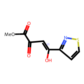 COC(=O)C(=O)/C=C(\O)c1ccsn1